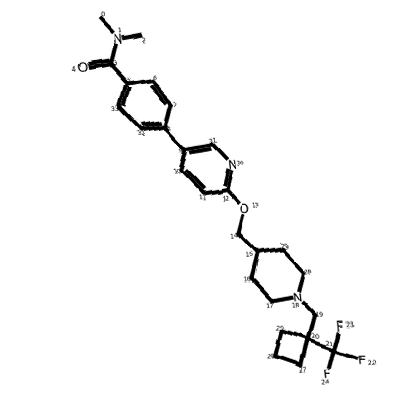 CN(C)C(=O)c1ccc(-c2ccc(OCC3CCN(CC4(C(F)(F)F)CCC4)CC3)nc2)cc1